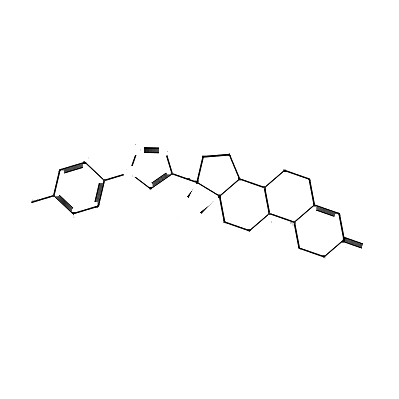 C[C@]12CCC3C4CCC(=O)C=C4CCC3C1CC[C@@]2(O)c1cn(-c2ccc(Cl)cc2)nn1